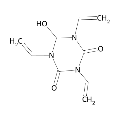 C=CN1C(=O)N(C=C)C(O)N(C=C)C1=O